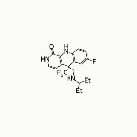 CCC(CC)NCC1(C(F)(F)F)c2cc(F)ccc2Nc2c1cc[nH]c2=O